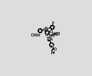 COc1cccc(Sc2cnc(Nc3nc(C4CCN(C(=O)CN(C)C)CC4)cs3)c(Oc3ccc(F)cc3Br)c2)c1.Cl.Cl